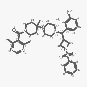 Cc1ncnc(C)c1C(=O)N1CCC(C)(N2CCN(C(c3cccc(F)c3)C3CN(S(=O)(=O)c4ccccc4)C3)[C@@H](C)C2)CC1